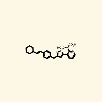 O=C(O)N(C(=O)O)c1ncccc1-c1cc(Cc2ccc(/C=C/C3CCCCC3)cc2)no1